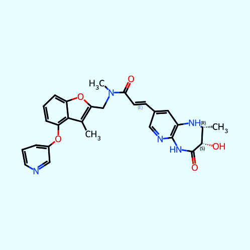 Cc1c(CN(C)C(=O)/C=C/c2cnc3c(c2)N[C@H](C)[C@H](O)C(=O)N3)oc2cccc(Oc3cccnc3)c12